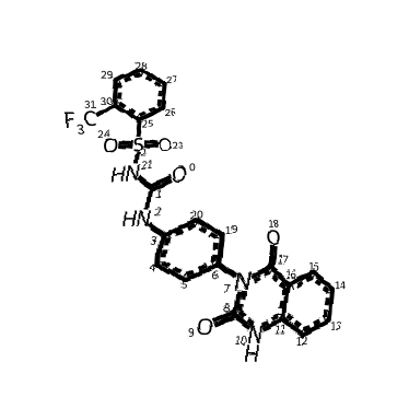 O=C(Nc1ccc(-n2c(=O)[nH]c3ccccc3c2=O)cc1)NS(=O)(=O)c1ccccc1C(F)(F)F